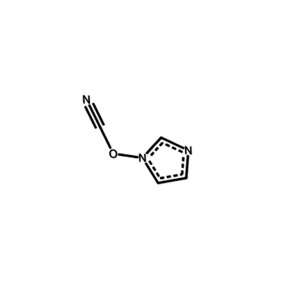 N#COn1ccnc1